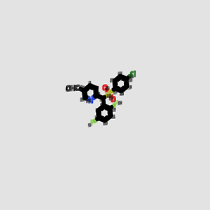 O=Cc1ccc(C(c2cc(F)ccc2F)S(=O)(=O)c2ccc(Cl)cc2)nc1